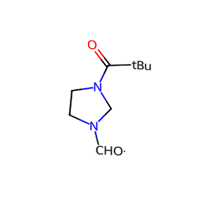 CC(C)(C)C(=O)N1CCN([C]=O)C1